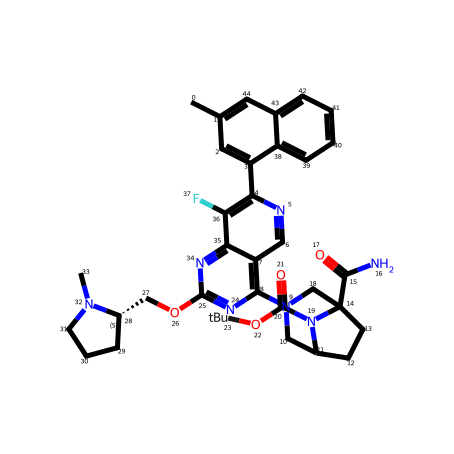 Cc1cc(-c2ncc3c(N4CC5CCC(C(N)=O)(C4)N5C(=O)OC(C)(C)C)nc(OC[C@@H]4CCCN4C)nc3c2F)c2ccccc2c1